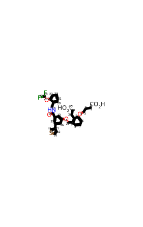 O=C(O)CCCOc1cccc(COc2cc(C(=O)NCc3ccccc3OC(F)F)cc(-c3ccsc3)c2)c1CCC(=O)O